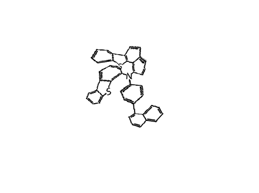 c1ccc2c(-c3ccc(N(c4cccc5c4sc4ccccc45)c4cccc5ccc6c7ccccc7sc6c45)cc3)cccc2c1